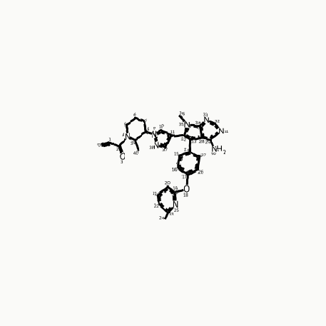 C=CC(=O)N1CCCC(n2cc(-c3c(-c4ccc(Oc5cccc(C)n5)cc4)c4c(N)ncnc4n3C)cn2)C1C